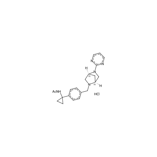 CC(=O)NC1(c2ccc(CN3C[C@@H]4C[C@H]3CN4c3ncccn3)cc2)CC1.Cl